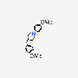 COc1ccc(CC2CCN(c3ccc(OC)cc3)CC2)cc1